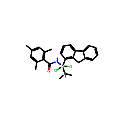 Cc1cc(C)c(C(=O)[NH][Zr]([Cl])([Cl])([c]2cccc3c2Cc2ccccc2-3)[SiH](C)C)c(C)c1